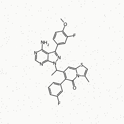 COc1ccc(-c2nn(C(C)c3cc4scc(C)n4c(=O)c3-c3cccc(F)c3)c3ncnc(N)c23)cc1F